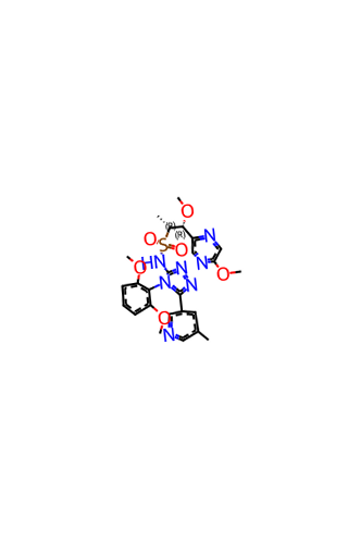 COc1cnc([C@@H](OC)[C@@H](C)S(=O)(=O)Nc2nnc(-c3cncc(C)c3)n2-c2c(OC)cccc2OC)cn1